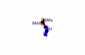 CNC(=O)c1cc(COc2cnc(Nc3ccc(-n4cncn4)cc3)nc2)c(F)c(OC)c1